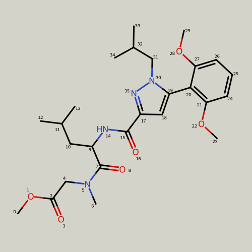 COC(=O)CN(C)C(=O)C(CC(C)C)NC(=O)c1cc(-c2c(OC)cccc2OC)n(CC(C)C)n1